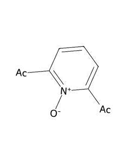 CC(=O)c1cccc(C(C)=O)[n+]1[O-]